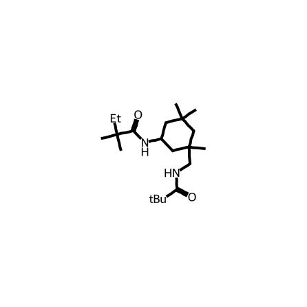 CCC(C)(C)C(=O)NC1CC(C)(C)CC(C)(CNC(=O)C(C)(C)C)C1